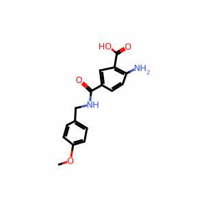 COc1ccc(CNC(=O)c2ccc(N)c(C(=O)O)c2)cc1